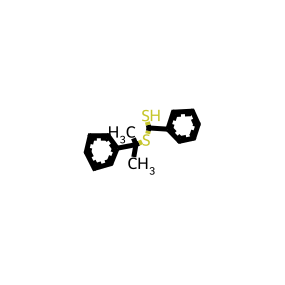 CC(C)(SC(S)c1ccccc1)c1ccccc1